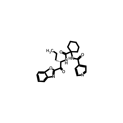 CCC[C@H](NC(=O)C1(NC(=O)c2ccncc2)CCCCC1)C(=O)c1nc2ccccc2o1